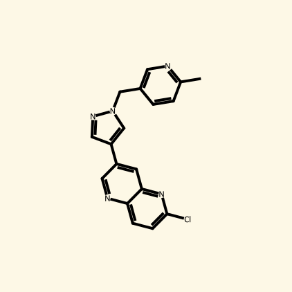 Cc1ccc(Cn2cc(-c3cnc4ccc(Cl)nc4c3)cn2)cn1